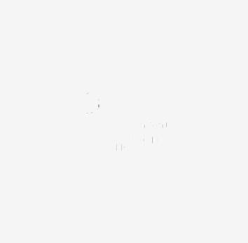 CCCCCC1(B(O)O)C=CC(c2ccccc2)=CC1